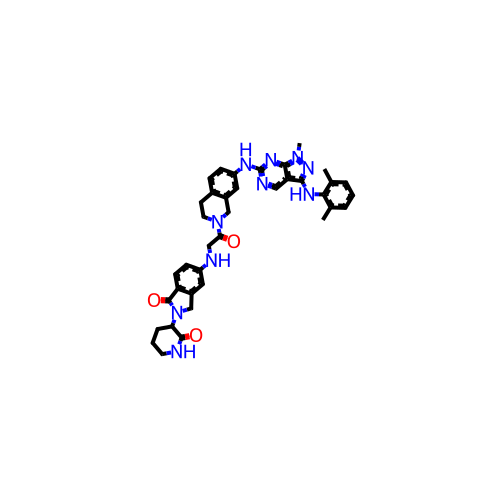 Cc1cccc(C)c1Nc1nn(C)c2nc(Nc3ccc4c(c3)CN(C(=O)CNc3ccc5c(c3)CN(C3CCCNC3=O)C5=O)CC4)ncc12